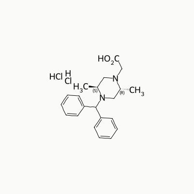 C[C@@H]1CN(C(c2ccccc2)c2ccccc2)[C@@H](C)CN1CC(=O)O.Cl.Cl